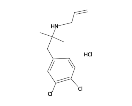 C=CCNC(C)(C)Cc1ccc(Cl)c(Cl)c1.Cl